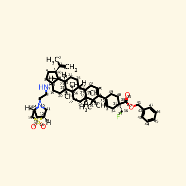 C=C(C)[C@@H]1CC[C@]2(NCCN3C[C@@H]4C[C@@H]3CS4(=O)=O)CC[C@]3(C)[C@H](CC[C@@H]4[C@@]5(C)CC=C(C6=CC[C@](CF)(C(=O)OCc7ccccc7)CC6)C(C)(C)[C@@H]5CC[C@]43C)[C@@H]12